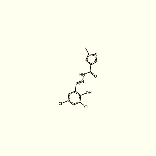 Cc1cc(C(=O)N/N=C/c2cc(Cl)cc(Cl)c2O)cs1